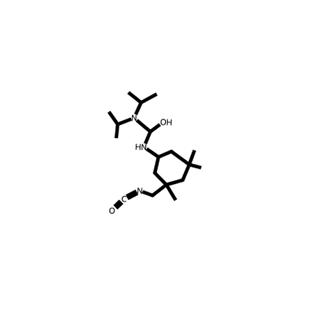 CC(C)N(C(C)C)C(O)NC1CC(C)(C)CC(C)(CN=C=O)C1